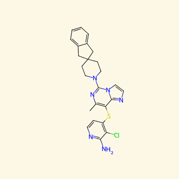 Cc1nc(N2CCC3(CC2)Cc2ccccc2C3)n2ccnc2c1Sc1ccnc(N)c1Cl